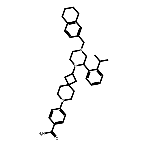 CC(C)c1ccccc1C1CN(Cc2ccc3c(c2)CCCC3)CCN1C1CC2(CCN(c3ccc(C(N)=O)cc3)CC2)C1